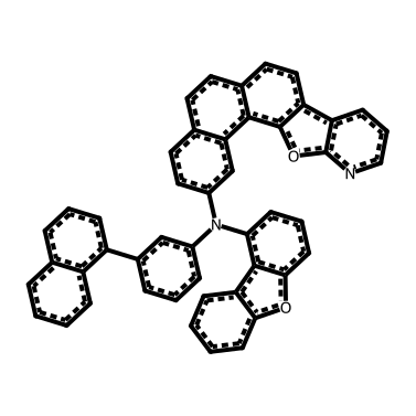 c1cc(-c2cccc3ccccc23)cc(N(c2ccc3ccc4ccc5c6cccnc6oc5c4c3c2)c2cccc3oc4ccccc4c23)c1